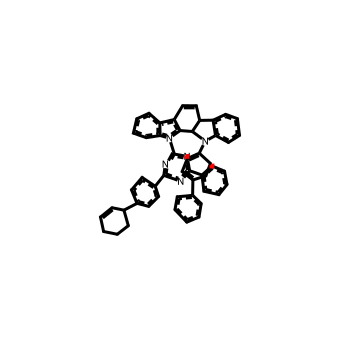 C1=CC(c2ccc(-c3nc(-c4ccccc4)nc(-n4c5c(c6ccccc64)C=CC4c6ccccc6N(C6=CC=C(c7ccccc7)CC6)C54)n3)cc2)CCC1